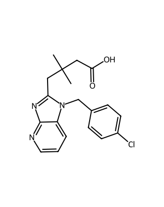 CC(C)(CC(=O)O)Cc1nc2ncccc2n1Cc1ccc(Cl)cc1